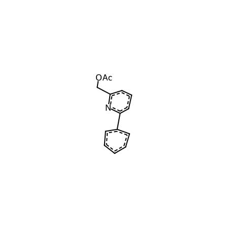 CC(=O)OCc1cccc(-c2ccccc2)n1